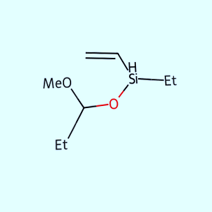 C=C[SiH](CC)OC(CC)OC